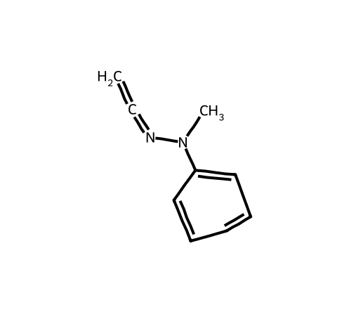 C=C=NN(C)c1ccccc1